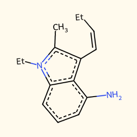 CC/C=C\c1c(C)n(CC)c2cccc(N)c12